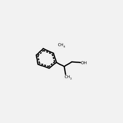 C.CC(CO)c1ccccc1